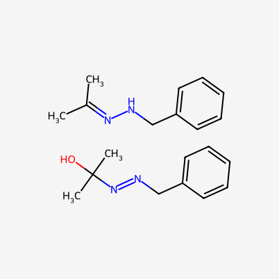 CC(C)(O)N=NCc1ccccc1.CC(C)=NNCc1ccccc1